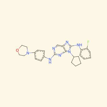 Fc1ccccc1Nc1nc2cnc(Nc3ccc(N4CCOCC4)cc3)nc2n1C1CCCC1